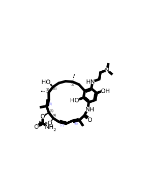 CO[C@H]1/C=C\C=C(/C)C(=O)Nc2cc(O)c(NCCN(C)C)c(c2O)C[C@@H](C)CC[C@H](O)[C@@H](C)/C=C(\C)[C@@H]1OC(N)=O